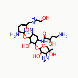 CNC1C(O)C(OC2C(NC(=O)C(O)CCN)CC(N)C(OC3OC(CNCCO)=CCC3N)C2O)OCC1(C)O